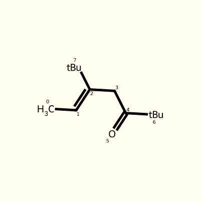 CC=C(CC(=O)C(C)(C)C)C(C)(C)C